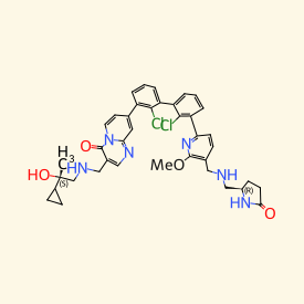 COc1nc(-c2cccc(-c3cccc(-c4ccn5c(=O)c(CNC[C@@](C)(O)C6CC6)cnc5c4)c3Cl)c2Cl)ccc1CNC[C@H]1CCC(=O)N1